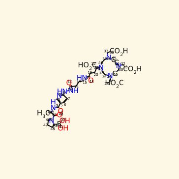 C[C@@H](NC(=O)c1ccc(NNC(=O)CCCNC(=O)CC[C@H](C(=O)O)N2CCN(CC(=O)O)CCN(CC(=O)O)CCN(CC(=O)O)CC2)nc1)C(=O)N1CCC[C@H]1B(O)O